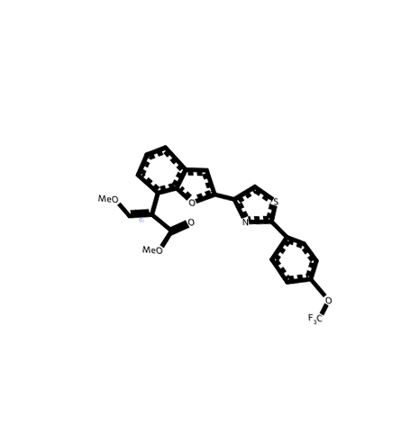 CO/C=C(/C(=O)OC)c1cccc2cc(-c3csc(-c4ccc(OC(F)(F)F)cc4)n3)oc12